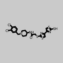 O=C(CSc1nc(-c2csc(S)n2)cs1)NC1CCN(Cc2ccc(Cl)c(Cl)c2)CC1